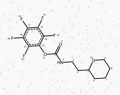 O=C(NCCC1CCCCO1)Oc1c(F)c(F)c(F)c(F)c1F